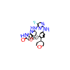 COc1cc(Nc2ncc(F)c(Nc3ccc4c(n3)NC(=O)CO4)n2)ccc1C1CCOCC1